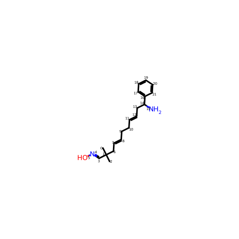 CC(C)(/C=N/O)C/C=C/CC/C=C/CC(N)c1ccccc1